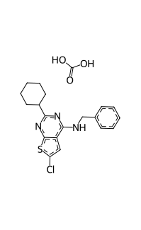 Clc1cc2c(NCc3ccccc3)nc(C3CCCCC3)nc2s1.O=C(O)O